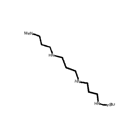 CCCCNCCCNCCCNCCCNC